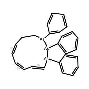 C1=C\C=C\[As](c2ccccc2)[As](c2ccccc2)[As](c2ccccc2)CC\C=C/1